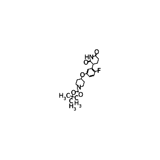 CC(C)(C)OC(=O)N1CCC(Oc2ccc(F)c(C3CCC(=O)NC3=O)c2)CC1